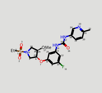 CCS(=O)(=O)N1C[C@H](Oc2cc(F)cc(NC(=O)Nc3ccc(C)nc3)c2)[C@H](OC)C1